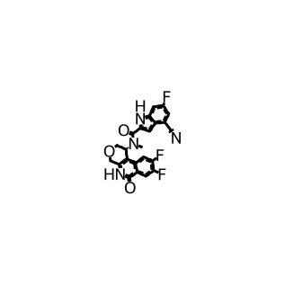 CN(C(=O)c1cc2c(C#N)cc(F)cc2[nH]1)[C@H]1COCc2[nH]c(=O)c3cc(F)c(F)cc3c21